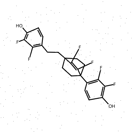 Oc1ccc(CCC23CCC(c4ccc(O)c(F)c4F)(CC2)C(F)=C3F)c(F)c1F